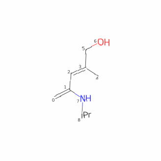 C=C(/C=C(\C)CO)NC(C)C